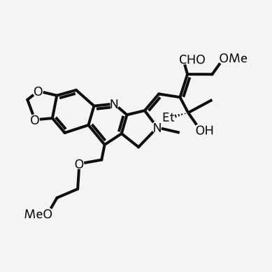 CC[C@](C)(O)C(/C=C1/c2nc3cc4c(cc3c(COCCOC)c2CN1C)OCO4)=C(/C=O)COC